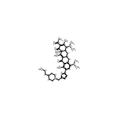 CN(C)c1cc(-c2ccc(CN3CCC(CCO)CC3)s2)c(O)c2c1CC1CC3C(N(C)C)C(O)=C(C(N)=O)C(=O)C3(O)C(O)=C1C2=O